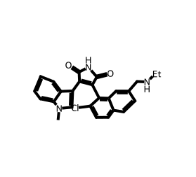 CCNCc1ccc2ccc(Cl)c(C3=C(c4cn(C)c5ccccc45)C(=O)NC3=O)c2c1